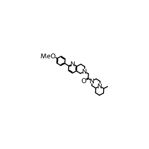 COc1ccc(-c2ccc3c(n2)CCN(CC(=O)N2CCN4C(C)CCCC4C2)C3)cc1